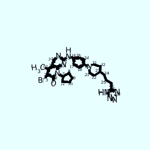 Cc1c(Br)c(=O)n(C2CCCC2)c2nc(Nc3ccc(N4CCC(CCCc5nnn[nH]5)CC4)cc3)ncc12